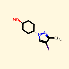 Cc1nn([C@H]2CC[C@H](O)CC2)cc1I